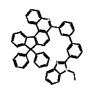 CCn1c(-c2cccc(-c3cccc(-c4nc5ccccc5c5c6c(ccc45)C(c4ccccc4)(c4ccccc4)c4ccccc4-6)c3)c2)nc2ccccc21